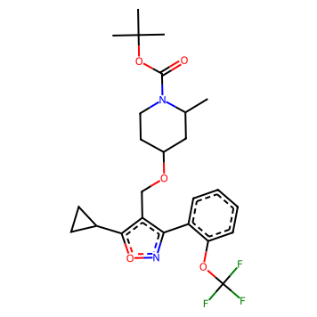 CC1CC(OCc2c(-c3ccccc3OC(F)(F)F)noc2C2CC2)CCN1C(=O)OC(C)(C)C